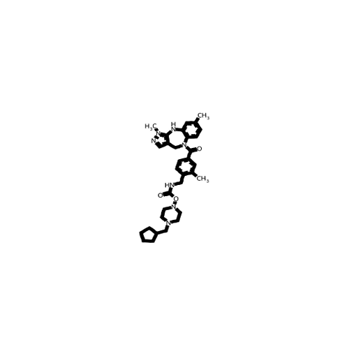 Cc1ccc2c(c1)Nc1c(cnn1C)CN2C(=O)c1ccc(CNC(=O)ON2CCN(CC3CCCC3)CC2)c(C)c1